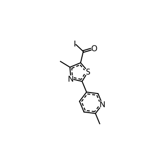 Cc1ccc(-c2nc(C)c(C(=O)I)s2)cn1